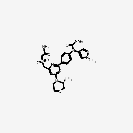 CNC(=O)N(c1ccc(-c2nc(CS(=O)(=O)CC(N)=O)cc(N3CCOC[C@@H]3C)n2)cc1)c1cnn(C)c1